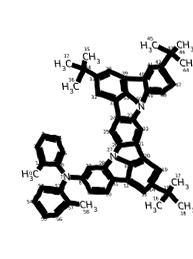 Cc1ccccc1N(c1ccc2c3cc(C(C)(C)C)cc4c5cc6c(cc5n(c2c1)c34)c1cc(C(C)(C)C)cc2c3cc(C(C)(C)C)ccc3n6c21)c1ccccc1C